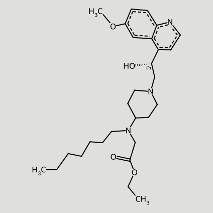 CCCCCCCN(CC(=O)OCC)C1CCN(C[C@H](O)c2ccnc3ccc(OC)cc23)CC1